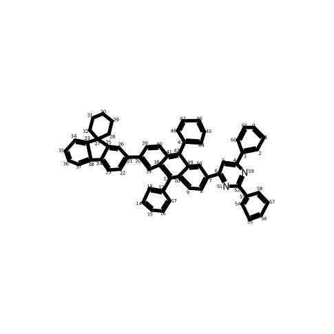 c1ccc(-c2cc(-c3ccc4c(-c5ccccc5)c5cc(-c6ccc7c(c6)C6(CCCCC6)c6ccccc6-7)ccc5c(-c5ccccc5)c4c3)nc(-c3ccccc3)n2)cc1